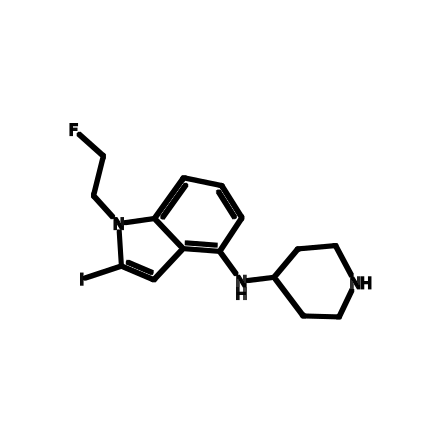 FCCn1c(I)cc2c(NC3CCNCC3)cccc21